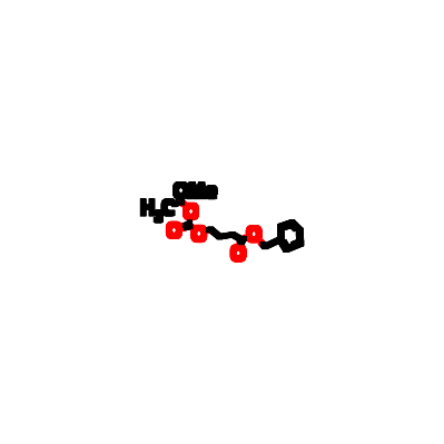 COC(C)OC(=O)OCCCC(=O)OCc1ccccc1